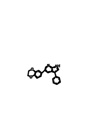 c1ccc(-c2c[nH]c3ncc(-c4ccc5c(c4)OCCO5)cc23)cc1